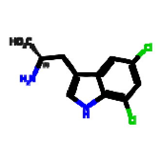 N[C@@H](Cc1c[nH]c2c(Cl)cc(Cl)cc12)C(=O)O